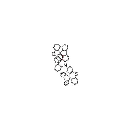 c1ccc(-c2ccccc2N(c2ccc3c(c2)C2(c4ccccc4S3)c3ccccc3-c3ccccc32)c2ccc3c(c2)C2(c4ccccc4Oc4ccccc42)c2ccccc2-3)cc1